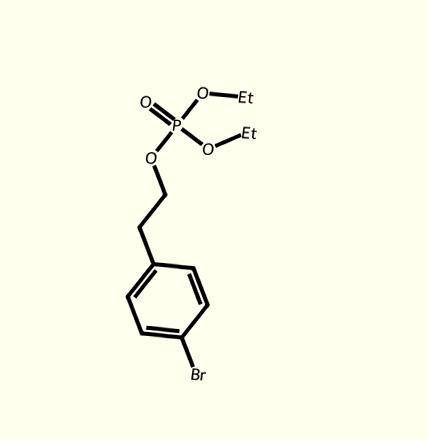 CCOP(=O)(OCC)OCCc1ccc(Br)cc1